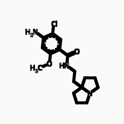 COc1cc(N)c(Cl)cc1C(=O)NCCC12CCCN1CCC2